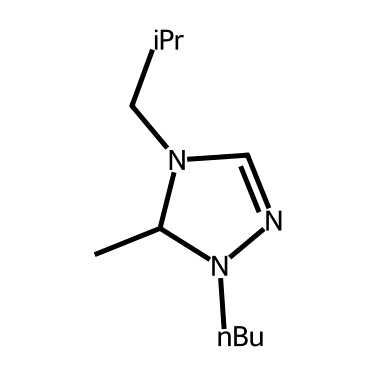 CCCCN1N=CN(CC(C)C)C1C